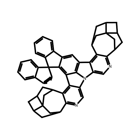 c1ccc2c(c1)-c1ccccc1C21c2ccccc2-c2cc3c4c5c(ncc4n4c6cnc7c(c6c(c21)c34)C1CC2CC3CC7CC32C1)C1CC2CC3CC5CC23C1